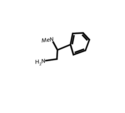 [CH2]NC(CN)c1ccccc1